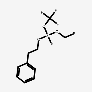 FCO[Si](F)(OCCc1ccccc1)OC(F)(F)F